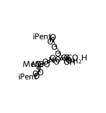 CCCC(C)OC(=O)CCC(=O)c1cc2cc(OCCCOc3cc4c(cc3OC)CN(C(=O)CCC(=O)OCc3ccc(O[C@H]5C[C@@H](O)[C@H](O)[C@@H](C(=O)O)O5)c(CCCC(=O)CCCCCC(=O)CCCCCN5C(=O)CC(C(C)CCC)C5=O)c3)C4)c(OC)cc2s1